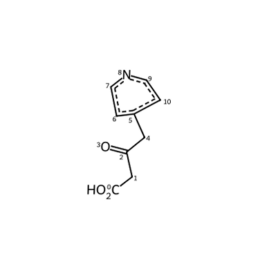 O=C(O)CC(=O)Cc1ccncc1